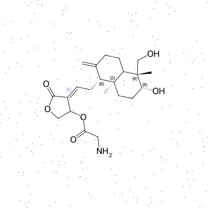 C=C1CCC2[C@](C)(CO)[C@H](O)CC[C@@]2(C)[C@@H]1C/C=C1/C(=O)OCC1OC(=O)CN